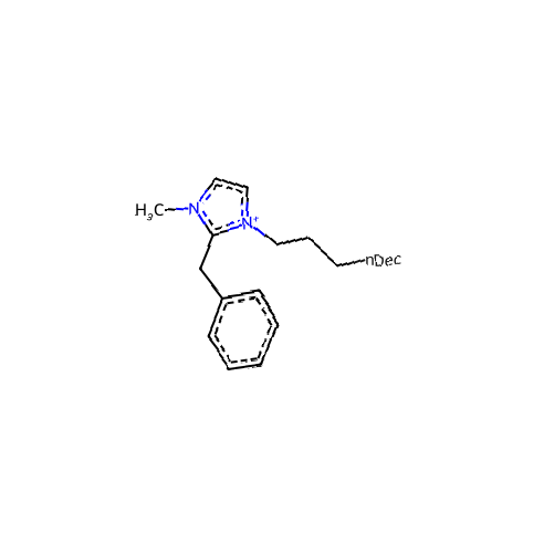 CCCCCCCCCCCCC[n+]1ccn(C)c1Cc1ccccc1